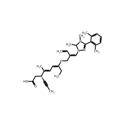 C=C/C(=C\N1N=C(c2c(C)cccc2C)N(C)C1C)CO/C(=C/C=C(\C)[C@@H](C#CC)CC(=O)O)CC